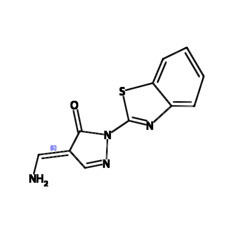 N/C=C1\C=NN(c2nc3ccccc3s2)C1=O